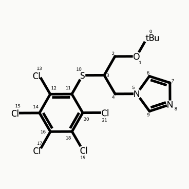 CC(C)(C)OCC(Cn1ccnc1)Sc1c(Cl)c(Cl)c(Cl)c(Cl)c1Cl